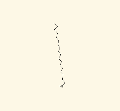 CCCCCCCCCCCCCCCCC[CH]S